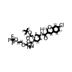 CC(C)(C)OC(=O)N1C[C@@H](NC(=O)C2=Cc3ccc(Cl)cc3OC2)CC[C@@H]1c1nnc(OCCOC(F)(F)F)o1